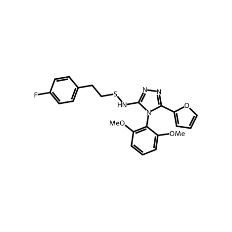 COc1cccc(OC)c1-n1c(NSCCc2ccc(F)cc2)nnc1-c1ccco1